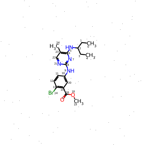 CCC(CC)Nc1nc(Nc2ccc(Br)c(C(=O)OC)c2)ncc1C